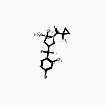 CC1(C(=O)N2CC(C(F)(F)c3ccc(Br)cc3C(F)(F)F)C[C@@]2(C)C(=O)O)CC1